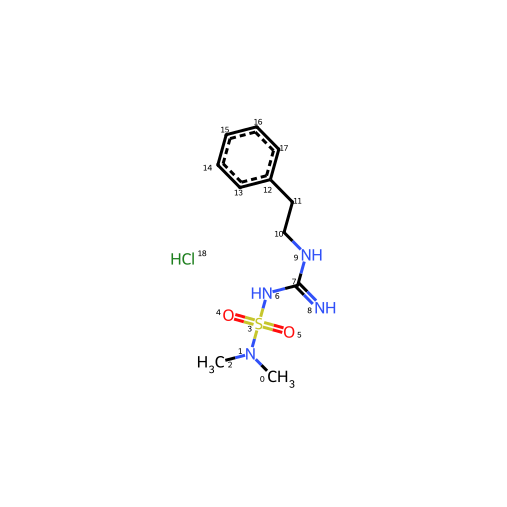 CN(C)S(=O)(=O)NC(=N)NCCc1ccccc1.Cl